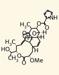 CO[C@H]1C[C@H]2C=C[C@H]3[C@H]4O[C@]2(/C(C)=C/[C@@H](C)[C@@H]([C@@H](C)O)OC1=O)[C@@H]3C(=O)[C@@H](C)[C@H]4OC(=O)c1ccc[nH]1